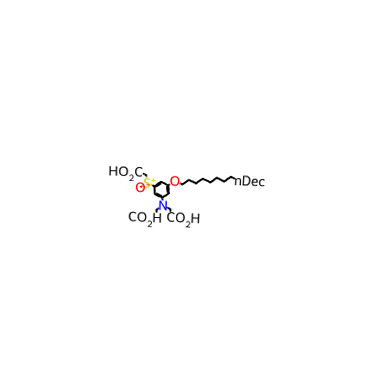 CCCCCCCCCCCCCCCCCCOc1cc(N(CC(=O)O)CC(=O)O)cc([S+]([O-])CC(=O)O)c1